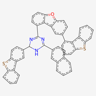 c1ccc2cc(C3=NC(c4cccc5oc6ccc(-c7cccc8sc9ccccc9c78)cc6c45)=NC(c4ccc5sc6ccccc6c5c4)N3)ccc2c1